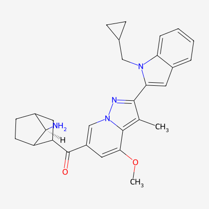 COc1cc(C(=O)C2CC3CCC2[C@@H]3N)cn2nc(-c3cc4ccccc4n3CC3CC3)c(C)c12